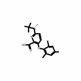 Cc1cc(C)c(Oc2ccc([C@@H](C)C(C)(C)C)nc2C(=O)O)c(C)c1